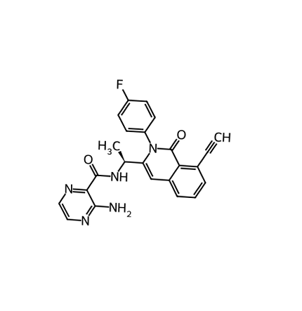 C#Cc1cccc2cc([C@H](C)NC(=O)c3nccnc3N)n(-c3ccc(F)cc3)c(=O)c12